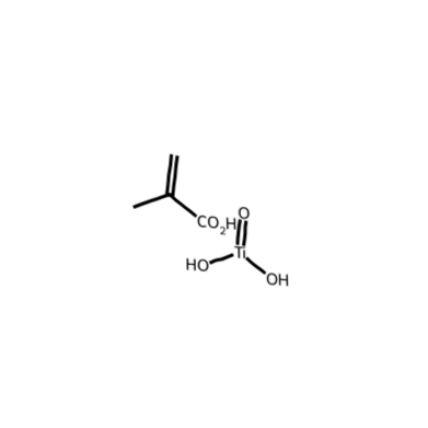 C=C(C)C(=O)O.[O]=[Ti]([OH])[OH]